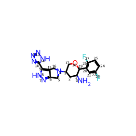 N[C@H]1C[C@@H](N2Cc3n[nH]c(-c4nnn[nH]4)c3C2)COC1c1cc(F)ccc1F